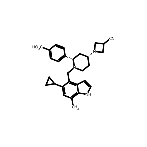 Cc1cc(C2CC2)c(CN2CC[C@@H](N3CC(C#N)C3)C[C@H]2c2ccc(C(=O)O)cc2)c2cc[nH]c12